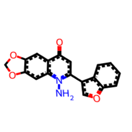 Nn1c(-c2coc3ccccc23)cc(=O)c2cc3c(cc21)OCO3